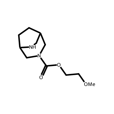 COCCOC(=O)N1CC2CCC(C1)NC2